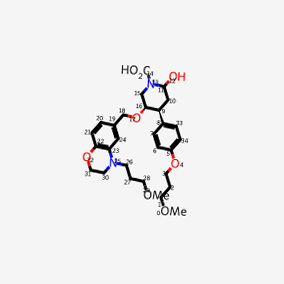 COCCCOc1ccc([C@@H]2CC(O)N(C(=O)O)C[C@@H]2OCc2ccc3c(c2)N(CCCOC)CCO3)cc1